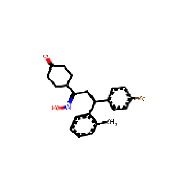 Cc1ccccc1C(C/C(=N/O)C1CCC(=O)CC1)c1ccc(Br)cc1